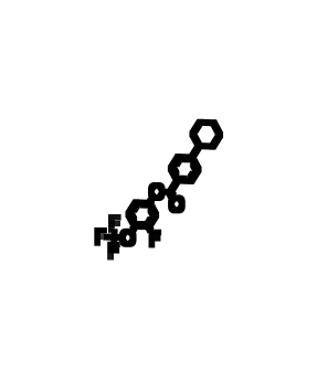 O=C(Oc1ccc(OC(F)(F)F)c(F)c1)c1ccc(C2CCCCC2)cc1